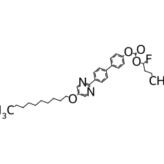 CCCCCCCCCCOc1cnc(-c2ccc(-c3ccc(OC(=O)O[C@@H](F)CCC)cc3)cc2)nc1